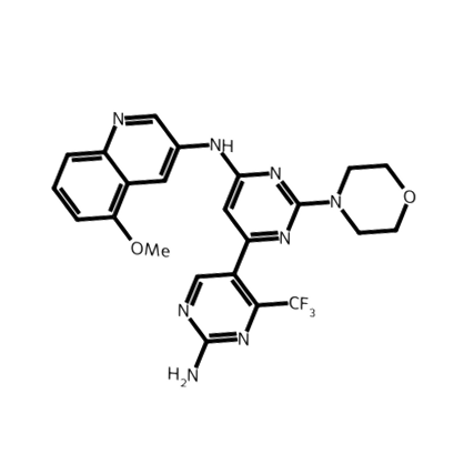 COc1cccc2ncc(Nc3cc(-c4cnc(N)nc4C(F)(F)F)nc(N4CCOCC4)n3)cc12